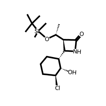 C[C@@H](O[Si](C)(C)C(C)(C)C)[C@H]1C(=O)NC1[C@H]1CCC[C@H](Cl)[C@H]1O